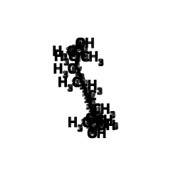 CC1=C(C#C/C(C)=C/C=C/C(C)=C/C=C/C=C(C)/C=C/C=C(C)/C=C/C2C(C)(C)CC(O)CC2(C)O)C(C)(C)CC(O)C1